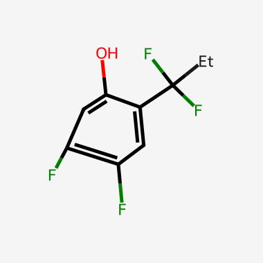 CCC(F)(F)c1cc(F)c(F)cc1O